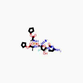 C[C@H](NP(=O)(N[C@@H](C)C(=O)OC1CCCC1)OC[C@@]1(N=[N+]=[N-])O[C@@H](n2ccc(N)nc2=O)[C@H](O)[C@@H]1F)C(=O)OC1CCCC1